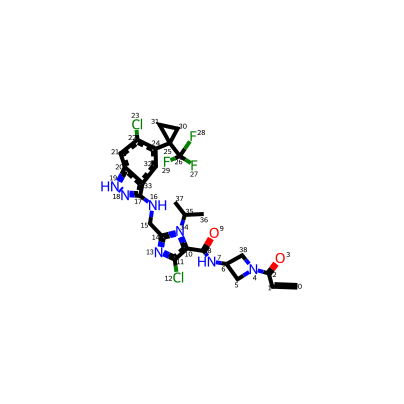 C=CC(=O)N1CC(NC(=O)c2c(Cl)nc(CNc3n[nH]c4cc(Cl)c(C5(C(F)(F)F)CC5)cc34)n2C(C)C)C1